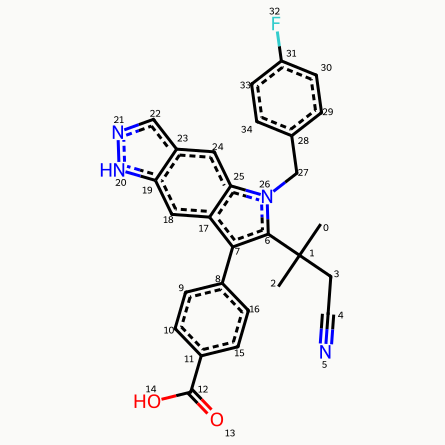 CC(C)(CC#N)c1c(-c2ccc(C(=O)O)cc2)c2cc3[nH]ncc3cc2n1Cc1ccc(F)cc1